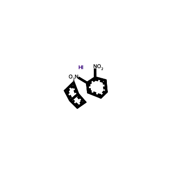 I.O=[N+]([O-])c1ccccc1[N+](=O)[O-].c1cc2ccc1-2